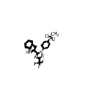 CS(=O)(=O)c1ccc(-n2nc(C(F)(F)F)nc2-c2cc3ccccc3[nH]2)cc1